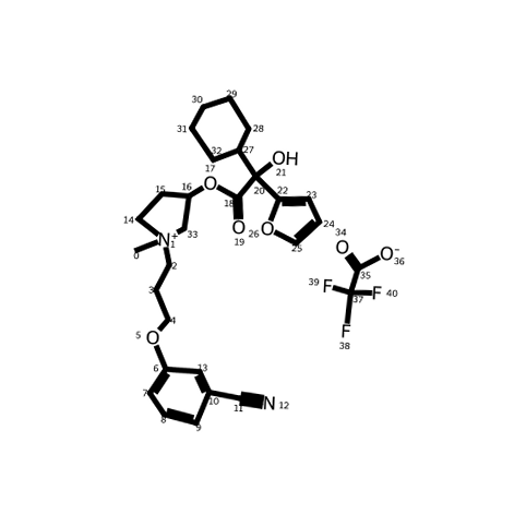 C[N+]1(CCCOc2cccc(C#N)c2)CCC(OC(=O)C(O)(c2ccco2)C2CCCCC2)C1.O=C([O-])C(F)(F)F